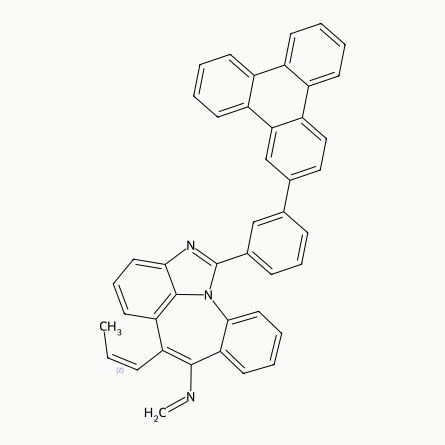 C=NC1=C(/C=C\C)c2cccc3nc(-c4cccc(-c5ccc6c7ccccc7c7ccccc7c6c5)c4)n(c23)-c2ccccc21